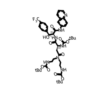 CC(C)(C)OC(=O)NCCN(CCNC(=O)OC(C)(C)C)C(=O)C[C@H](NC(=O)OC(C)(C)C)C(=O)N[C@H](C(=O)Nc1ccc2ncccc2c1)[C@H](O)c1ccc(C(F)(F)F)cc1